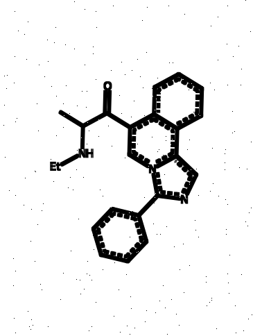 CCNC(C)C(=O)c1cn2c(-c3ccccc3)ncc2c2ccccc12